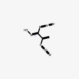 C=C(N=[N+]=[N-])/C(N=[N+]=[N-])=N/O